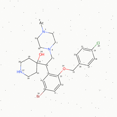 CC(=O)N1CCN(CC(c2cc(Br)ccc2OCc2ccc(Cl)cc2)C2(O)CCNCC2)CC1